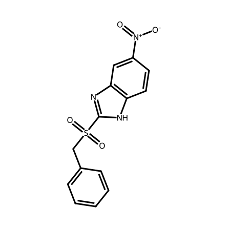 O=[N+]([O-])c1ccc2[nH]c(S(=O)(=O)Cc3ccccc3)nc2c1